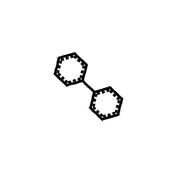 [c]1[c]ccc(-c2[c][c][c]cc2)[c]1